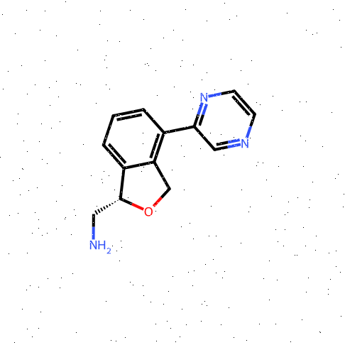 NC[C@H]1OCc2c(-c3cnccn3)cccc21